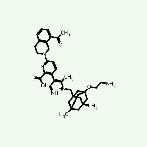 CC(=O)c1cccc2c1CN(c1ccc(/C(C=N)=C(\C)NCC34CC5(C)CC(C)(C3)CC(OCCN)(C5)C4)c(C(=O)O)n1)CC2